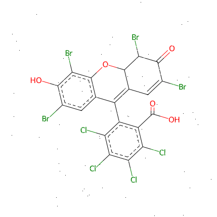 O=C(O)c1c(Cl)c(Cl)c(Cl)c(Cl)c1C1=C2C=C(Br)C(=O)C(Br)C2Oc2c1cc(Br)c(O)c2Br